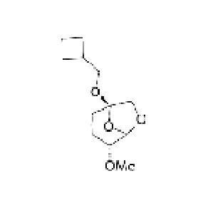 CO[C@@H]1CC[C@]2(OCC3CCC3)COC1O2